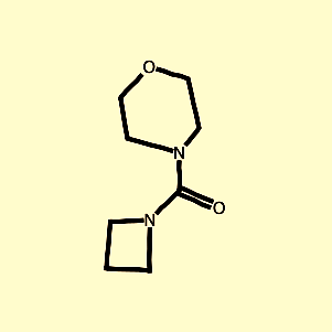 O=C(N1CCC1)N1CCOCC1